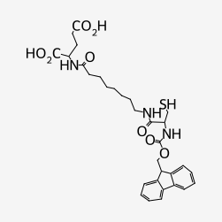 O=C(O)CCC(NC(=O)CCCCCCCNC(=O)C(CS)NC(=O)OCC1c2ccccc2-c2ccccc21)C(=O)O